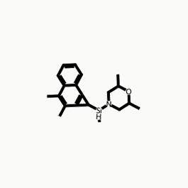 Cc1c2c(c3ccccc3c1C)C2[SiH](C)N1CC(C)OC(C)C1